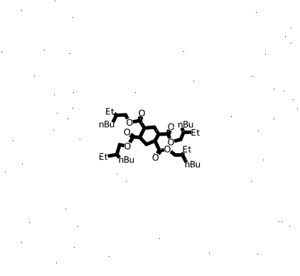 CCCCC(CC)COC(=O)C1CC(C(=O)OCC(CC)CCCC)C(C(=O)OCC(CC)CCCC)CC1C(=O)OCC(CC)CCCC